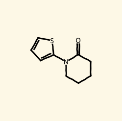 O=C1CCCCN1c1cccs1